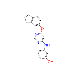 Oc1cccc(Nc2cc(Oc3ccc4c(c3)CCC4)ncn2)c1